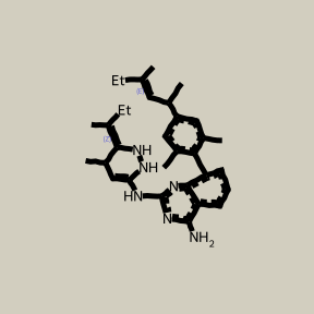 CC/C(C)=C1\NNC(Nc2nc(N)c3cccc(-c4c(C)cc(C(C)/C=C(\C)CC)cc4C)c3n2)=CC1C